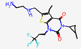 Cc1c(CNCCN)sc2c1c(=O)n(C1CC1C)c(=O)n2CCC(F)(F)F